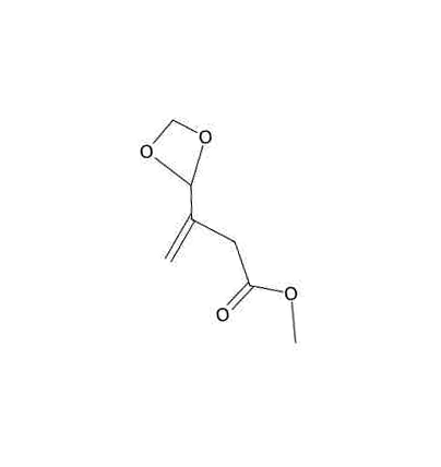 C=C(CC(=O)OC)C1OCO1